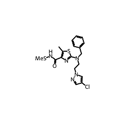 CSNC(=O)c1nc(N(CCn2cc(Cl)cn2)Cc2ccccc2)sc1C